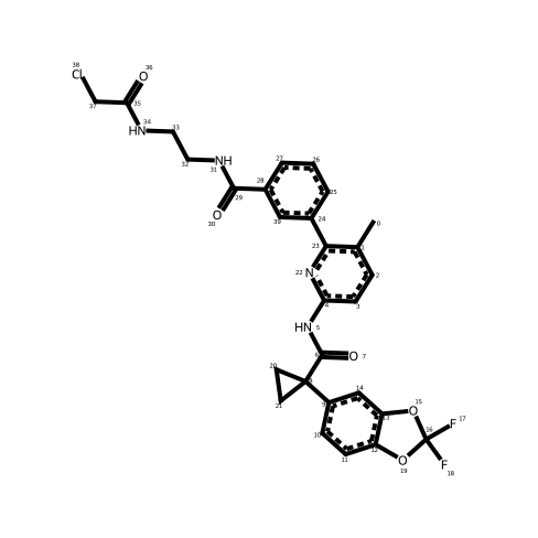 Cc1ccc(NC(=O)C2(c3ccc4c(c3)OC(F)(F)O4)CC2)nc1-c1cccc(C(=O)NCCNC(=O)CCl)c1